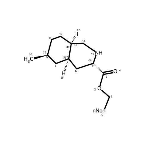 CCCCCCCCCCOC(=O)[C@@H]1C[C@H]2C[C@@H](C)CC[C@H]2CN1